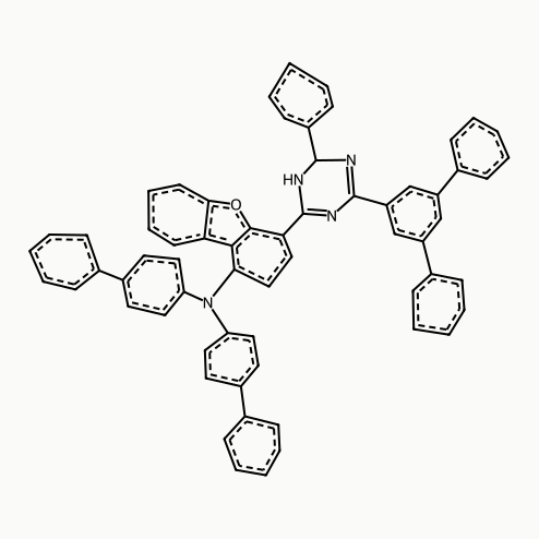 c1ccc(-c2ccc(N(c3ccc(-c4ccccc4)cc3)c3ccc(C4=NC(c5cc(-c6ccccc6)cc(-c6ccccc6)c5)=NC(c5ccccc5)N4)c4oc5ccccc5c34)cc2)cc1